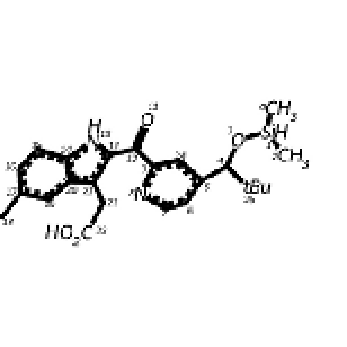 C[SiH](C)OC(c1ccnc(C(=O)c2[nH]c3ccc(Cl)cc3c2CC(=O)O)c1)C(C)(C)C